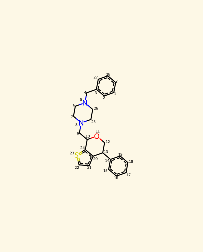 c1ccc(CN2CCN(CC3OCC(c4ccccc4)c4ccsc43)CC2)cc1